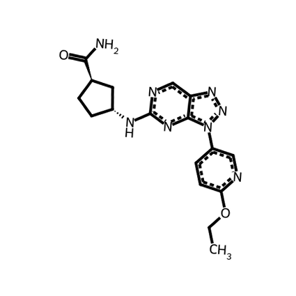 CCOc1ccc(-n2nnc3cnc(N[C@@H]4CC[C@@H](C(N)=O)C4)nc32)cn1